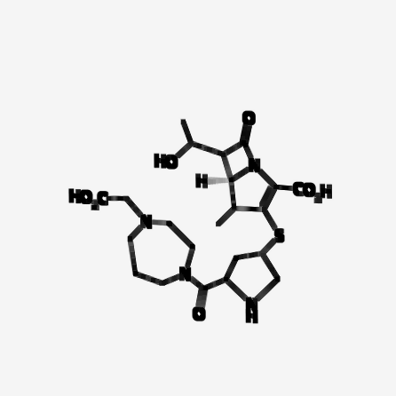 CC(O)C1C(=O)N2C(C(=O)O)=C(SC3CNC(C(=O)N4CCCN(CC(=O)O)CC4)C3)C(C)[C@@H]12